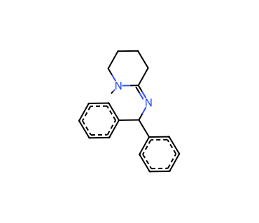 CN1CCCC/C1=N/C(c1ccccc1)c1ccccc1